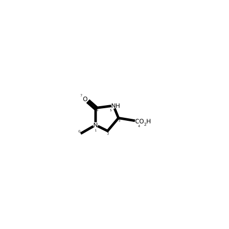 CN1CC(C(=O)O)NC1=O